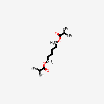 CCCC(CCC)C(=O)O[SiH2]CCCC[SiH2]OC(=O)C(CCC)CCC